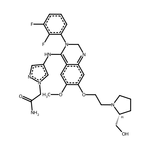 COc1cc2c(cc1OCCN1CCC[C@@H]1CO)=NCN(c1cccc(F)c1F)C=2Nc1cnn(CC(N)=O)c1